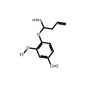 C=CCC(CCCCCC)Oc1ccc(C=O)cc1OCC